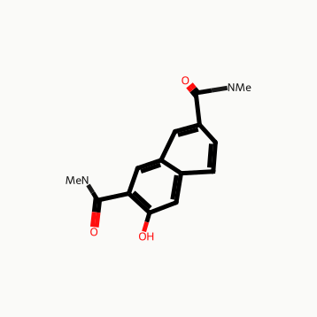 CNC(=O)c1ccc2cc(O)c(C(=O)NC)cc2c1